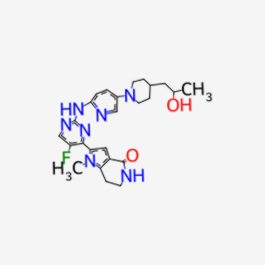 CC(O)CC1CCN(c2ccc(Nc3ncc(F)c(-c4cc5c(n4C)CCNC5=O)n3)nc2)CC1